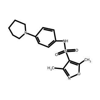 Cc1noc(C)c1S(=O)(=O)Nc1ccc(N2CCCCC2)cc1